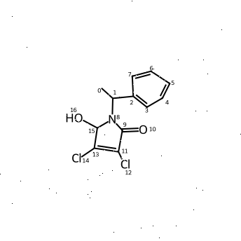 CC(c1ccccc1)N1C(=O)C(Cl)=C(Cl)C1O